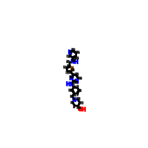 OC1CCN(Cc2cccc(Nc3nccc(-c4ccc(CNc5cccnc5)s4)n3)c2)CC1